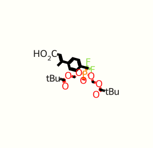 CC(=CC(=O)O)c1ccc(C(F)(F)P(=O)(OCOC(=O)C(C)(C)C)OCOC(=O)C(C)(C)C)cc1